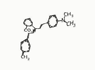 C=c1ccc(=C/C=C(/C=C/c2ccc(N(C)C)cc2)c2ccccc2C(=O)O)cc1